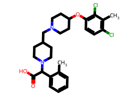 Cc1ccccc1C(C(=O)O)N1CCC(CN2CCC(Oc3ccc(Cl)c(C)c3Cl)CC2)CC1